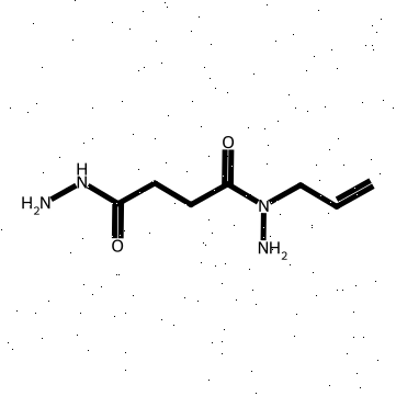 C=CCN(N)C(=O)CCC(=O)NN